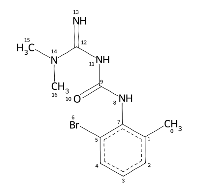 Cc1cccc(Br)c1NC(=O)NC(=N)N(C)C